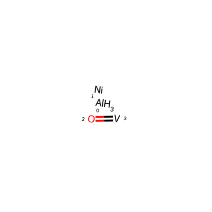 [AlH3].[Ni].[O]=[V]